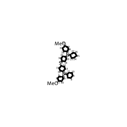 COc1ccc(N(c2ccccc2)c2ccc(Sc3ccc(N(c4ccccc4)c4ccc(OC)cc4)cc3)cc2)cc1